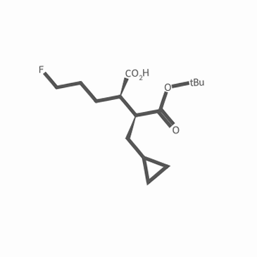 CC(C)(C)OC(=O)[C@@H](CC1CC1)[C@@H](CCCF)C(=O)O